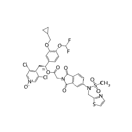 CS(=O)(=O)N(Cc1nccs1)c1ccc2c(c1)C(=O)N(CC(=O)O[C@@H](Cc1c(Cl)c[n+]([O-])cc1Cl)c1ccc(OC(F)F)c(OCC3CC3)c1)C2=O